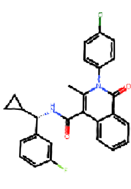 Cc1c(C(=O)N[C@H](c2cccc(F)c2)C2CC2)c2ccccc2c(=O)n1-c1ccc(Cl)cc1